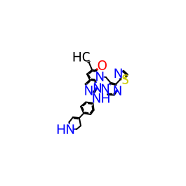 C#Cc1cc2cnc(Nc3ccc(C4=CCNCC4)cc3)nc2n(Cc2nccnc2-c2nccs2)c1=O